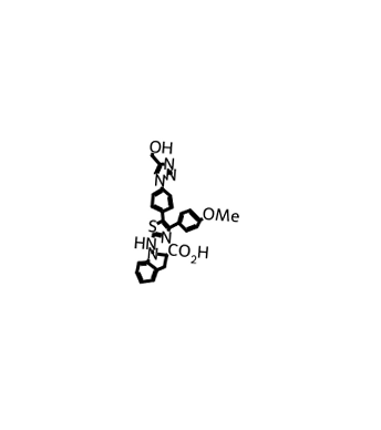 COc1ccc(-c2nc(NN3c4ccccc4CC3C(=O)O)sc2-c2ccc(-n3cc(CO)nn3)cc2)cc1